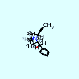 [2H]C([2H])([2H])N(C([2H])([2H])C#CC)[C@]([2H])(C([2H])([2H])[2H])C([2H])([2H])c1ccccc1